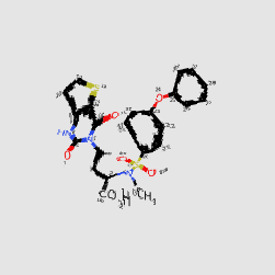 CN(C(CCn1c(=O)[nH]c2ccsc2c1=O)C(=O)O)S(=O)(=O)c1ccc(Oc2ccccc2)cc1